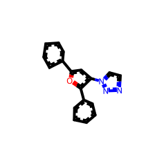 c1ccc(-c2cc(-n3ccnn3)c(-c3ccccc3)o2)cc1